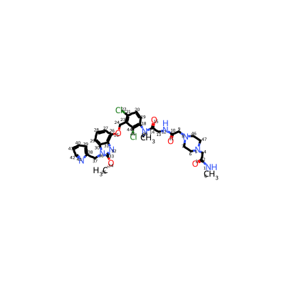 CNC(=O)CN1CCN(CC(=O)NCC(=O)N(C)c2ccc(Cl)c(COc3cccc4c3nc(OC)n4Cc3ccccn3)c2Cl)CC1